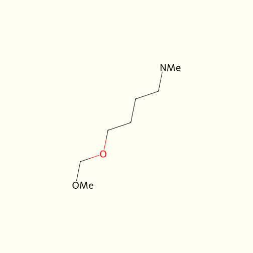 CNCCCCOCOC